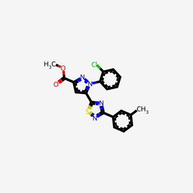 COC(=O)c1cc(-c2nc(-c3cccc(C)c3)ns2)n(-c2ccccc2Cl)n1